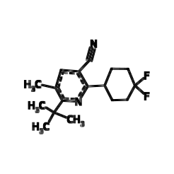 Cc1cc(C#N)c(C2CCC(F)(F)CC2)nc1C(C)(C)C